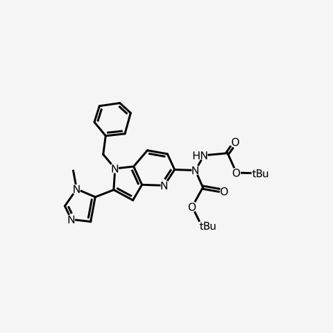 Cn1cncc1-c1cc2nc(N(NC(=O)OC(C)(C)C)C(=O)OC(C)(C)C)ccc2n1Cc1ccccc1